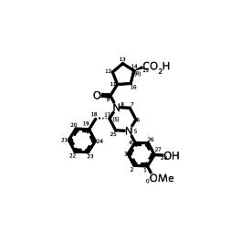 COc1ccc(N2CCN(C(=O)C3CC[C@@H](C(=O)O)C3)[C@@H](Cc3ccccc3)C2)cc1O